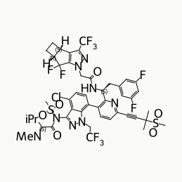 CN[C@H](C(=O)N(c1nn(CC(F)(F)F)c2c(-c3ccc(C#CC(C)(C)S(C)(=O)=O)nc3[C@H](Cc3cc(F)cc(F)c3)NC(=O)Cn3nc(C(F)(F)F)c4c3C(F)(F)[C@@H]3CC[C@H]43)ccc(Cl)c12)S(C)(=O)=O)C(C)C